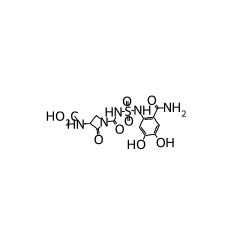 NC(=O)c1cc(O)c(O)cc1NS(=O)(=O)NC(=O)N1C[C@H](NC(=O)O)C1=O